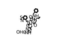 C=CCN1CC(=O)N2[C@@H](Cc3cnc(NC=O)nc3)C(=O)N(Cc3cccc4scnc34)C[C@@H]2N1C(=O)NCc1ccccc1